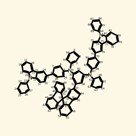 c1ccc(N(c2ccc(-c3ccc4c(c3)c3ccccc3n4-c3ccccc3)cc2)c2cc(-c3ccc4c(c3)C3(c5ccccc5-c5ccccc53)c3ccccc3-4)cc(N(c3ccccc3)c3ccc(-c4ccc5c(c4)c4ccccc4n5-c4ccccc4)cc3)c2)cc1